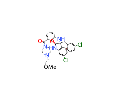 COCCN1CCN(C(=O)c2cccc(NC3(Cc4cccc(Cl)c4)C(=O)Nc4cc(Cl)ccc43)c2)CC1